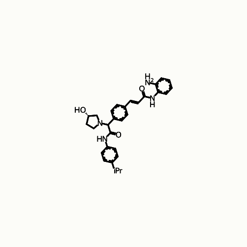 CC(C)c1ccc(NC(=O)C(c2ccc(C=CC(=O)Nc3ccccc3N)cc2)N2CC[C@H](O)C2)cc1